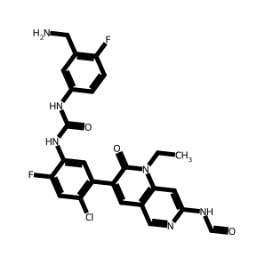 CCn1c(=O)c(-c2cc(NC(=O)Nc3ccc(F)c(CN)c3)c(F)cc2Cl)cc2cnc(NC=O)cc21